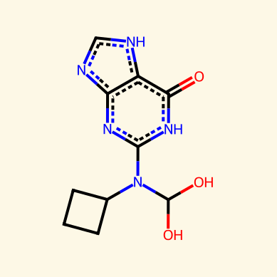 O=c1[nH]c(N(C(O)O)C2CCC2)nc2nc[nH]c12